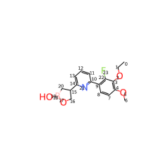 CCOc1c(OC)ccc(-c2cccc(C3COB(O)C3)n2)c1F